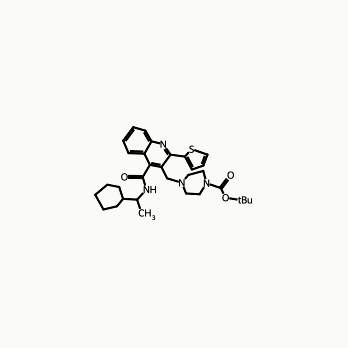 CC(NC(=O)c1c(CN2CCN(C(=O)OC(C)(C)C)CC2)c(-c2cccs2)nc2ccccc12)C1CCCCC1